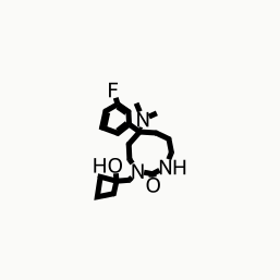 CN(C)[C@@]1(c2cccc(F)c2)CCCNC(=O)N(CC2(O)CCC2)CC1